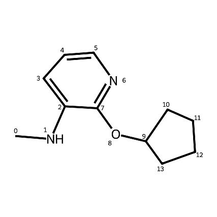 CNc1cccnc1OC1CCCC1